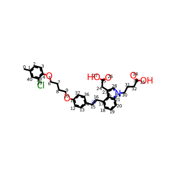 Cc1ccc(OCCCCOc2ccc(/C=C/c3cccc4c3c(CC(=O)O)cn4CCCC(=O)O)cc2)c(Cl)c1